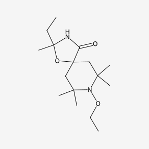 CCON1C(C)(C)CC2(CC1(C)C)OC(C)(CC)NC2=O